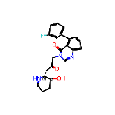 O=C(C[C@H]1NCCC[C@@H]1O)Cn1cnc2cccc(-c3cccc(F)c3)c2c1=O